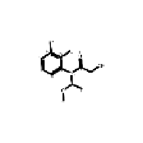 COC(C)N(C(=O)CCl)c1cccc(C)c1C